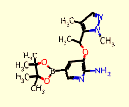 Cc1cnn(C)c1C(C)Oc1cc(B2OC(C)(C)C(C)(C)O2)cnc1N